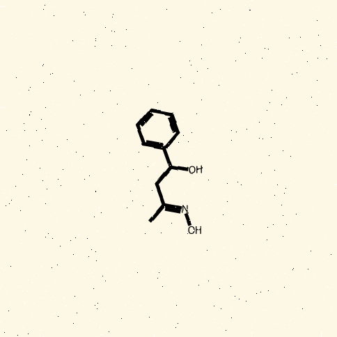 CC(CC(O)c1ccccc1)=NO